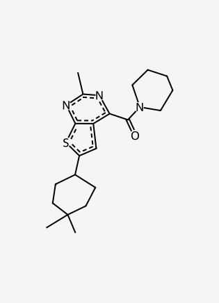 Cc1nc(C(=O)N2CCCCC2)c2cc(C3CCC(C)(C)CC3)sc2n1